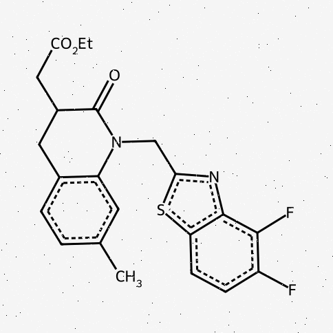 CCOC(=O)CC1Cc2ccc(C)cc2N(Cc2nc3c(F)c(F)ccc3s2)C1=O